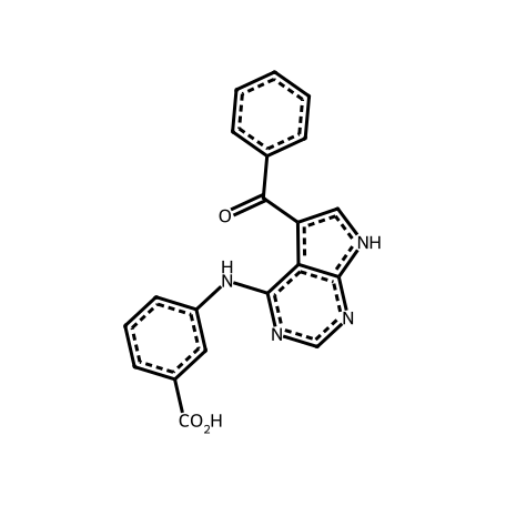 O=C(O)c1cccc(Nc2ncnc3[nH]cc(C(=O)c4ccccc4)c23)c1